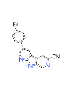 CCc1ccc(-c2cnc3[nH]c4cnc(C#N)cc4c3c2)cc1